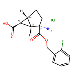 Cl.N[C@@]1(C(=O)OCc2ccccc2F)CC[C@H]2[C@H](C(=O)O)[C@H]21